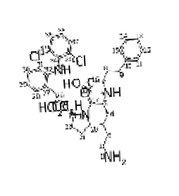 NCCCC[C@H](N[C@@H](CCc1ccccc1)C(=O)O)C(=O)N1CCC[C@H]1C(=O)O.O=C(O)Cc1ccccc1Nc1c(Cl)cccc1Cl